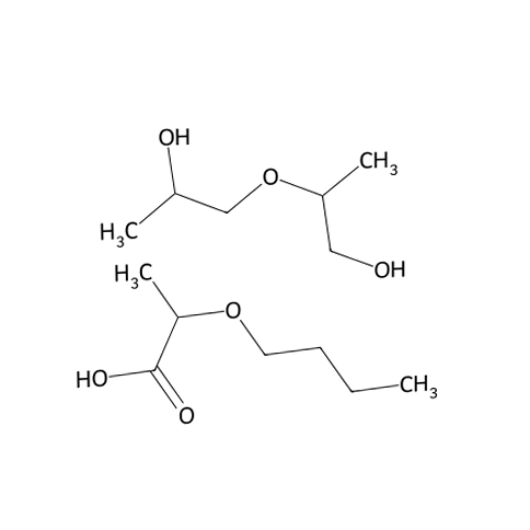 CC(O)COC(C)CO.CCCCOC(C)C(=O)O